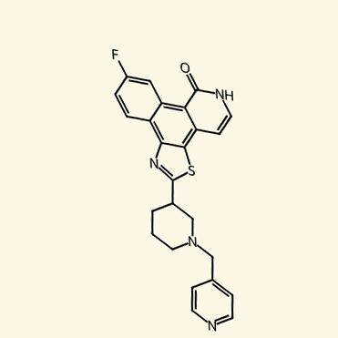 O=c1[nH]ccc2c3sc(C4CCCN(Cc5ccncc5)C4)nc3c3ccc(F)cc3c12